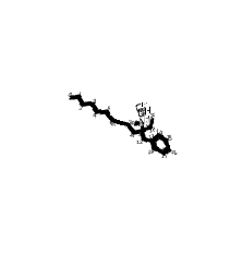 CCCCCCCCCC(CC)(Cc1ccccc1)[N+](C)(C)O.[Cl-]